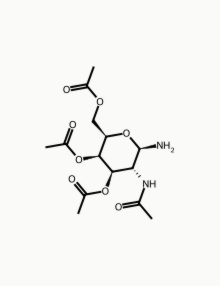 CC(=O)N[C@@H]1[C@@H](OC(C)=O)[C@@H](OC(C)=O)[C@@H](COC(C)=O)O[C@H]1N